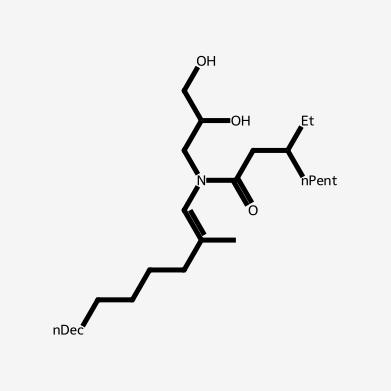 CCCCCCCCCCCCCCC(C)=CN(CC(O)CO)C(=O)CC(CC)CCCCC